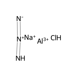 Cl.[Al+3].[N-]=[N+]=N.[Na+]